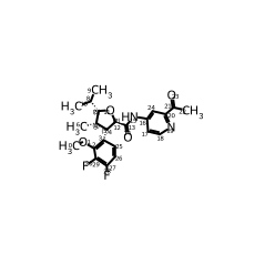 COc1c([C@@H]2[C@H](C)[C@H](C(C)C)O[C@H]2C(=O)Nc2ccnc(C(C)=O)c2)ccc(F)c1F